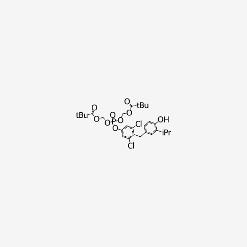 CC(C)c1cc(Cc2c(Cl)cc(OP(=O)(OCOC(=O)C(C)(C)C)OCOC(=O)C(C)(C)C)cc2Cl)ccc1O